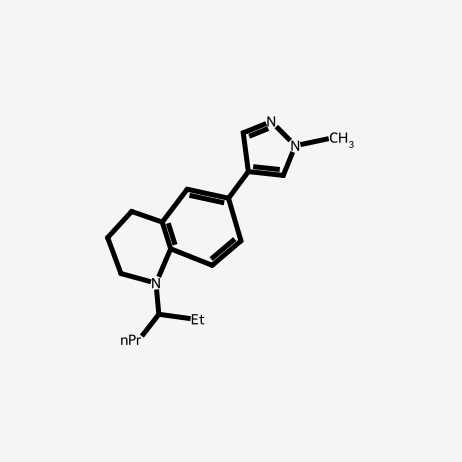 CCCC(CC)N1CCCc2cc(-c3cnn(C)c3)ccc21